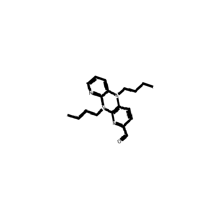 CCCCN1c2cccnc2N(CCCC)c2nc(C=O)ccc21